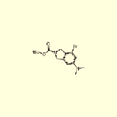 CN(C)c1cc(Br)c2c(c1)CN(C(=O)OC(C)(C)C)C2